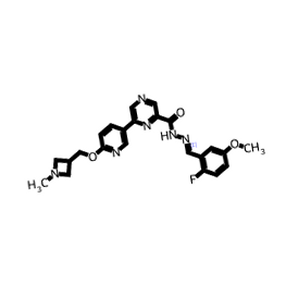 COc1ccc(F)c(/C=N/NC(=O)c2cncc(-c3ccc(OCC4CN(C)C4)nc3)n2)c1